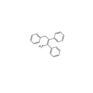 PC(=C(Cc1ccccc1)c1ccccc1)c1ccccc1